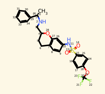 C[C@@H](NCC1CCc2ccc(NS(=O)(=O)c3ccc(OC(F)(F)F)cc3)cc2O1)c1ccccc1